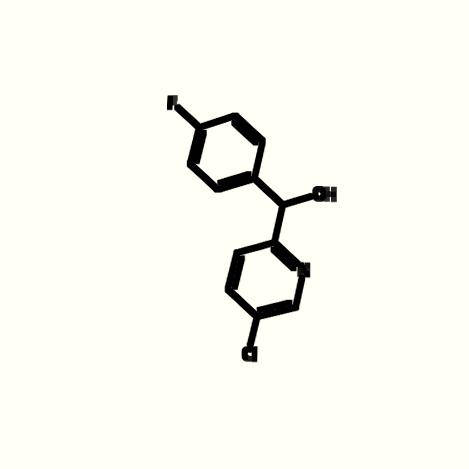 OC(c1ccc(F)cc1)c1ccc(Cl)cn1